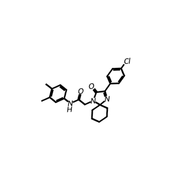 Cc1ccc(NC(=O)CN2C(=O)C(c3ccc(Cl)cc3)=NC23CCCCC3)cc1C